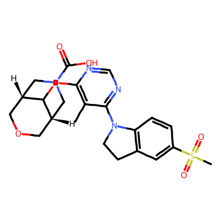 Cc1c(OC2[C@@H]3COC[C@H]2CN(C(=O)O)C3)ncnc1N1CCc2cc(S(C)(=O)=O)ccc21